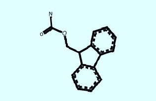 [N]C(=O)OCC1c2ccccc2-c2ccccc21